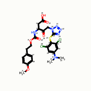 COc1ccc(CCOC(=O)NC(CC(=O)O)C(=O)Cn2nnnc2Sc2c(Cl)cc(N(C)C)cc2Cl)cc1